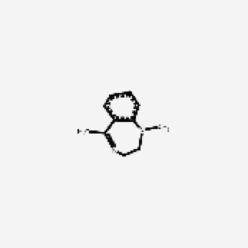 CC1=NCCN(C)c2ccccc21